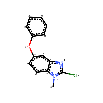 Cn1c(Cl)nc2cc(Oc3ccccc3)ccc21